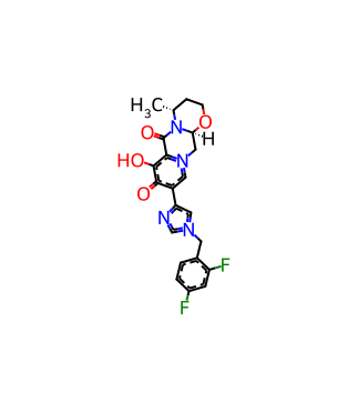 C[C@@H]1CCO[C@H]2Cn3cc(-c4cn(Cc5ccc(F)cc5F)cn4)c(=O)c(O)c3C(=O)N12